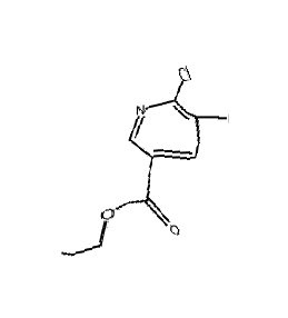 CCOC(=O)c1cnc(Cl)c(I)c1